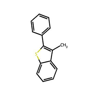 Cc1c(-c2ccccc2)sc2ccccc12